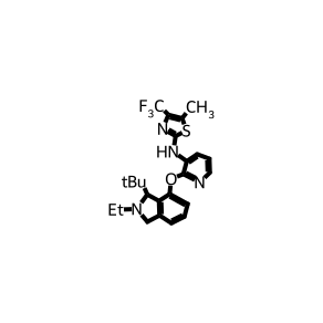 CCN1Cc2cccc(Oc3ncccc3Nc3nc(C(F)(F)F)c(C)s3)c2C1C(C)(C)C